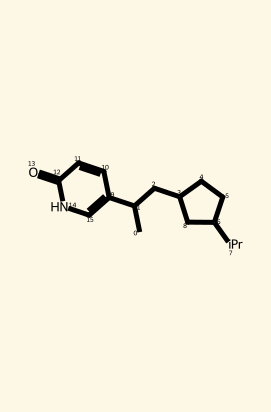 CC(CC1CCC(C(C)C)C1)c1ccc(=O)[nH]c1